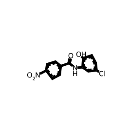 O=C(Nc1cc(Cl)ccc1O)c1ccc([N+](=O)[O-])cc1